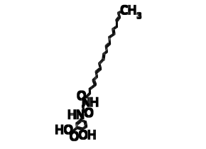 CCC=CCC=CCC=CCC=CCC=CCC=CCCC(=O)NCC(=O)Nc1ccc(O)c(C(=O)O)c1